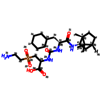 CC1(C)[C@@H]2CC[C@@]1(C)[C@@H](NC(=O)[C@@H](CC1CCCCC1)NC(=O)NC(CS(=O)(=O)CCN)C(=O)O)C2